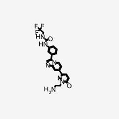 NCCn1nc(-c2ccn3c(-c4cccc(NC(=O)NCC(F)(F)F)c4)cnc3c2)ccc1=O